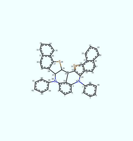 c1ccc(N2c3cccc4c3B(c3sc5c(ccc6ccccc65)c32)C2Sc3c(ccc5ccccc35)C2N4c2ccccc2)cc1